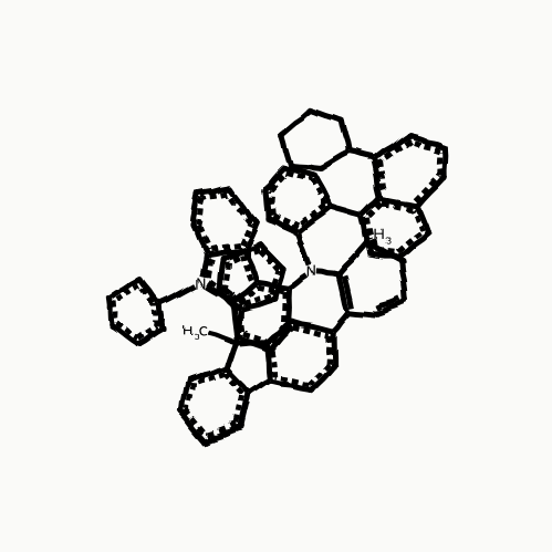 CC1CC=CC(c2ccc3c(c2)C(C)(c2ccccc2)c2ccccc2-3)=C1N(c1ccccc1-c1cccc2cccc(C3CCCCC3)c12)c1cccc2c1c1ccccc1n2-c1ccccc1